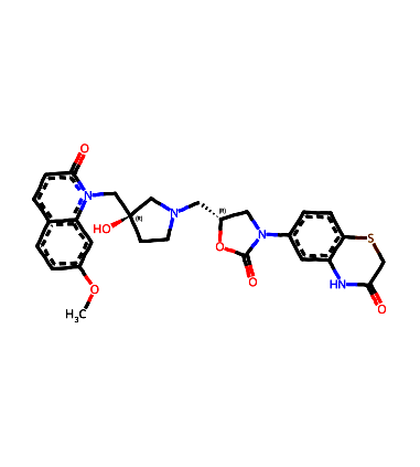 COc1ccc2ccc(=O)n(C[C@@]3(O)CCN(C[C@@H]4CN(c5ccc6c(c5)NC(=O)CS6)C(=O)O4)C3)c2c1